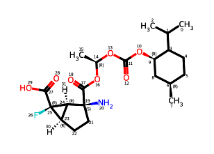 CC(C)C1CC[C@@H](C)C[C@H]1OC(=O)O[C@H](C)OC(=O)[C@]1(N)CC[C@@H]2[C@H]1[C@@]2(F)C(=O)O